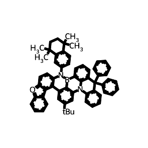 CC(C)(C)c1cc2c3c(c1)N1c4ccccc4C(c4ccccc4)(c4ccccc4)c4cccc(c41)B3N(c1ccc3c(c1)C(C)(C)CCC3(C)C)c1ccc3oc4ccccc4c3c1-2